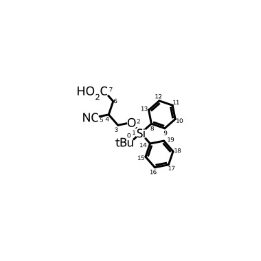 CC(C)(C)[Si](OCC(C#N)CC(=O)O)(c1ccccc1)c1ccccc1